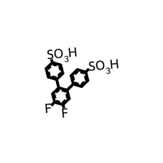 O=S(=O)(O)c1ccc(-c2cc(F)c(F)cc2-c2ccc(S(=O)(=O)O)cc2)cc1